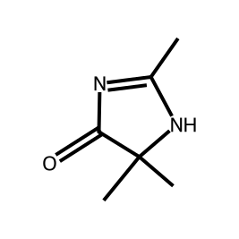 CC1=NC(=O)C(C)(C)N1